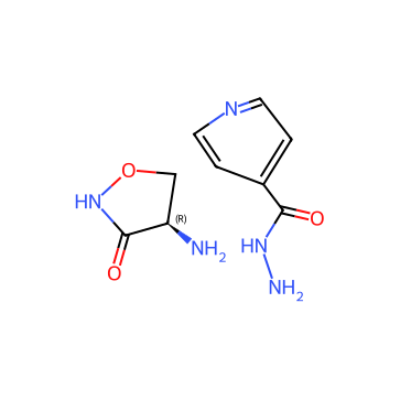 NNC(=O)c1ccncc1.N[C@@H]1CONC1=O